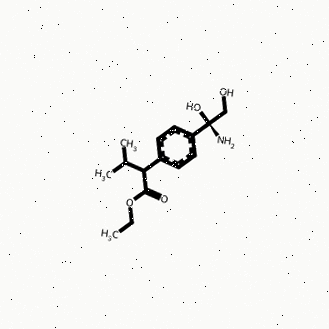 CCOC(=O)C(c1ccc([C@](N)(O)CO)cc1)C(C)C